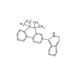 CC1(C)c2ccccc2-c2ccc(C3=c4ccccc4=CCN3)cc2C1(C)C